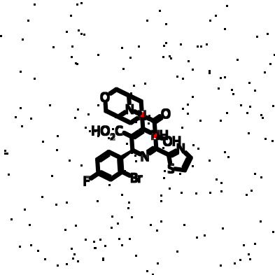 O=C(O)C1=C(CN2C3COCC2CN(C(=O)CO)C3)NC(c2nccs2)=N[C@H]1c1ccc(F)cc1Br